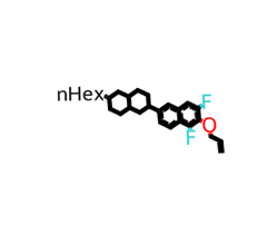 C=CCOc1c(F)cc2cc(C3CCC4CC(CCCCCC)CCC4C3)ccc2c1F